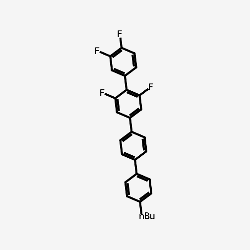 CCCCc1ccc(-c2ccc(-c3cc(F)c(-c4ccc(F)c(F)c4)c(F)c3)cc2)cc1